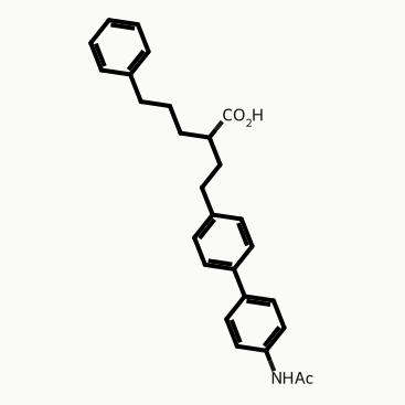 CC(=O)Nc1ccc(-c2ccc(CCC(CCCc3ccccc3)C(=O)O)cc2)cc1